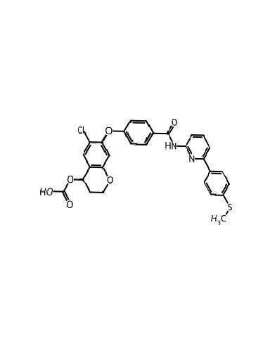 CSc1ccc(-c2cccc(NC(=O)c3ccc(Oc4cc5c(cc4Cl)C(OC(=O)O)CCO5)cc3)n2)cc1